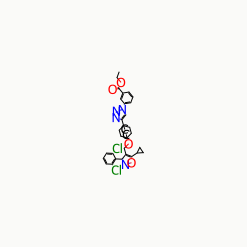 CCOC(=O)c1cccc(-n2cc(C34CCC(OCc5c(-c6c(Cl)cccc6Cl)noc5C5CC5)(CC3)CC4)nn2)c1